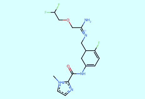 Cn1ccnc1C(=O)NC1=CC=C(F)C(C/N=C(/N)COCC(F)F)C1